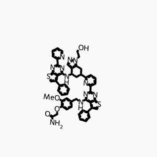 COc1cc(CNc2nc(-c3cccc(C4Cc5c(cnn5CCO)C(Nc5nc(-c6ccccn6)nc6scc(-c7ccccc7)c56)C4)n3)nc3scc(-c4ccccc4)c23)ccc1OCC(N)=O